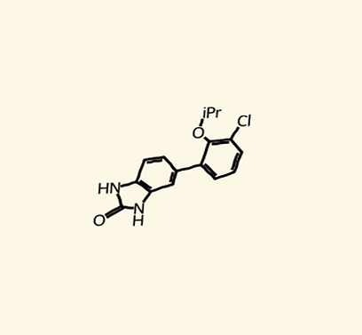 CC(C)Oc1c(Cl)cccc1-c1ccc2[nH]c(=O)[nH]c2c1